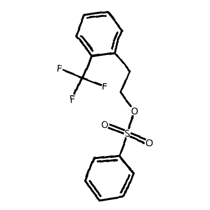 O=S(=O)(OCCc1ccccc1C(F)(F)F)c1ccccc1